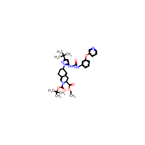 CCOC(=O)C1CC2=CC(n3nc(C(C)(C)C)cc3NC(=O)Nc3cccc(Oc4cccnc4)c3)CCC2=CN1C(=O)OC(C)(C)C